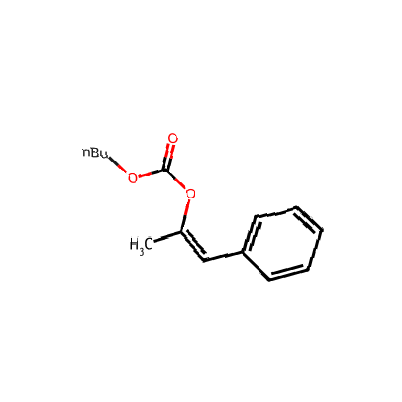 CCCCOC(=O)OC(C)=Cc1ccccc1